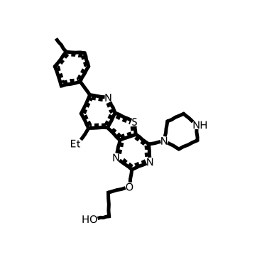 CCc1cc(-c2ccc(C)cc2)nc2sc3c(N4CCNCC4)nc(OCCO)nc3c12